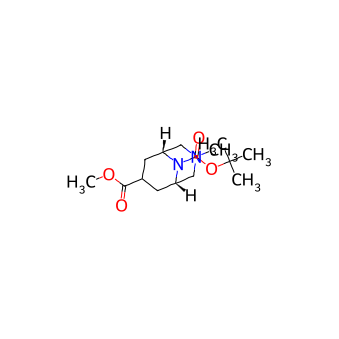 COC(=O)C1C[C@@H]2CN(C)C[C@H](C1)N2C(=O)OC(C)(C)C